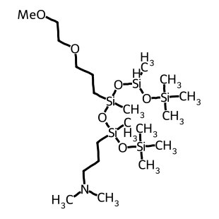 COCCOCCC[Si](C)(O[SiH](C)O[Si](C)(C)C)O[Si](C)(CCCN(C)C)O[Si](C)(C)C